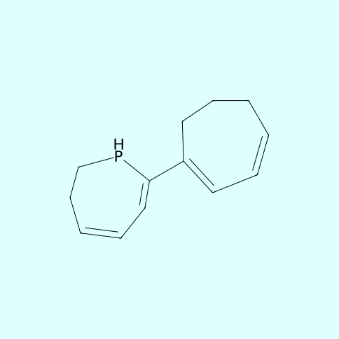 C1=CCCCC(C2=CC=CCCP2)=C1